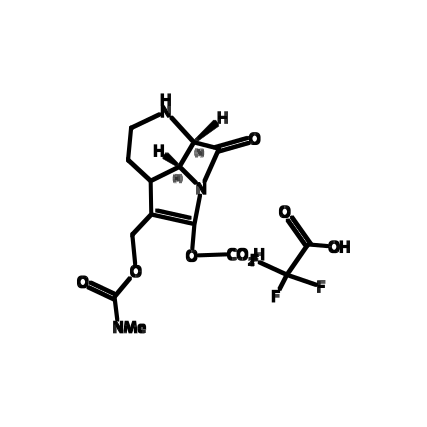 CNC(=O)OCC1=C(OC(=O)O)N2C(=O)[C@H]3NCCC1[C@H]32.O=C(O)C(F)(F)F